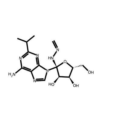 C=NN[C@@]1(n2cnc3c(N)nc(C(C)C)nc32)O[C@H](CO)[C@@H](O)[C@H]1O